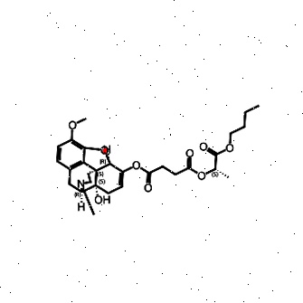 CCCCOC(=O)[C@H](C)OC(=O)CCC(=O)OC1=CC[C@@]2(O)[C@H]3Cc4ccc(OC)c5c4[C@@]2(CCN3C)[C@H]1O5